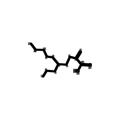 C=C(CCC(CCC)CCCCC)C(=O)O